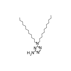 CCCCCCCCCCCCN(CCCCCCCCCCCC)c1ncnc(N)n1